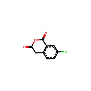 O=C1Cc2ccc(Cl)cc2C(=O)O1